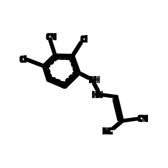 N#CC(C#N)=CNNc1ccc(Cl)c(C#N)c1Cl